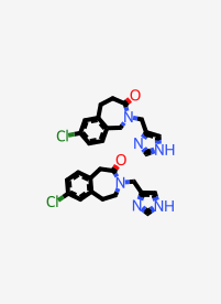 O=C1CCc2cc(Cl)ccc2CN1Cc1c[nH]cn1.O=C1Cc2ccc(Cl)cc2CCN1Cc1c[nH]cn1